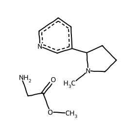 CN1CCCC1c1cccnc1.COC(=O)CN